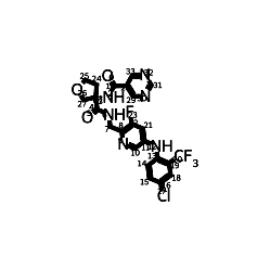 O=C(N[C@@]1(C(=O)NCc2ncc(Nc3ccc(Cl)cc3C(F)(F)F)cc2F)CCOC1)c1cncnc1